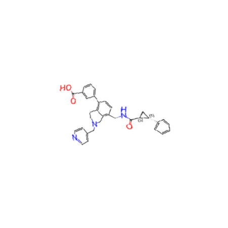 O=C(O)c1cccc(-c2ccc(CNC(=O)[C@H]3C[C@@H]3c3ccccc3)c3c2CCN(Cc2ccncc2)C3)c1